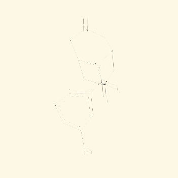 CC(C)c1cccc(C(=O)N2C3CNCC2CC(=O)C3)c1